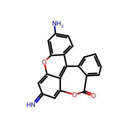 N=c1cc2oc(=O)c3ccccc3c3c4ccc(N)cc4oc(c1)c23